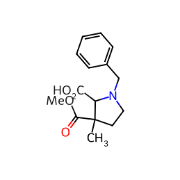 COC(=O)C1(C)CCN(Cc2ccccc2)C1C(=O)O